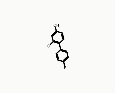 [O]c1cc(O)ccc1-c1ccc(F)cc1